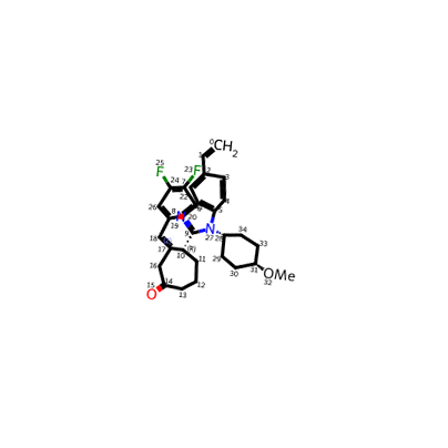 C=Cc1ccc2c(c1)nc([C@@H]1CCCC(=O)C/C1=C/c1ccc(F)c(F)c1)n2[C@H]1CC[C@H](OC)CC1